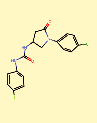 O=C(Nc1ccc(F)cc1)NC1CC(=O)N(c2ccc(Cl)cc2)C1